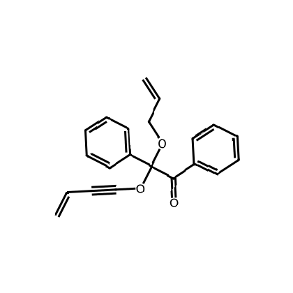 C=CC#COC(OCC=C)(C(=O)c1ccccc1)c1ccccc1